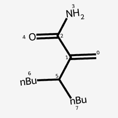 C=C(C(N)=O)C(CCCC)CCCC